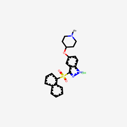 CC(C)N1CCC(Oc2ccc3[nH]nc(S(=O)(=O)c4cccc5ccccc45)c3c2)CC1.Cl